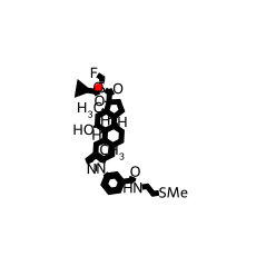 CSCCNC(=O)c1cccc(-n2ncc3c2C=C2CC[C@@H]4[C@H]([C@@H](O)C[C@@]5(C)[C@H]4CC[C@]5(OC(=O)C4CC4)C(=O)SCF)[C@@]2(C)C3)c1